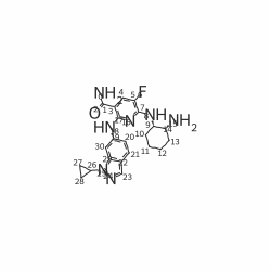 NC(=O)c1cc(F)c(N[C@@H]2CCCC[C@@H]2N)nc1Nc1ccc2cnn(C3CC3)c2c1